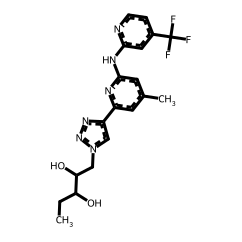 CCC(O)C(O)Cn1cc(-c2cc(C)cc(Nc3cc(C(F)(F)F)ccn3)n2)nn1